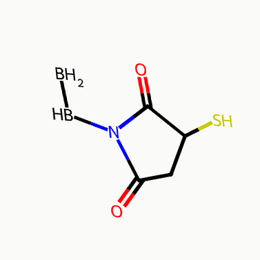 BBN1C(=O)CC(S)C1=O